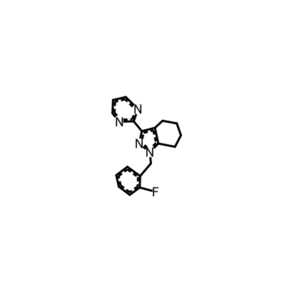 Fc1ccccc1Cn1nc(-c2ncccn2)c2c1CCCC2